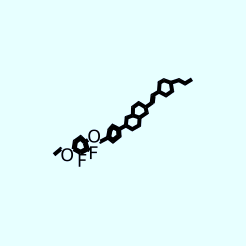 CCCC1CCC(/C=C/C2CCC3CC(c4ccc(COc5ccc(OCC)c(F)c5F)cc4)CCC3C2)CC1